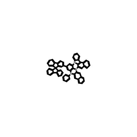 c1ccc(N2c3cc4ccccc4cc3B3c4c2cc(-c2ccc5c(c2)C2(c6ccccc6-c6ccccc62)c2ccccc2-5)cc4-n2c4ccccc4c4c5ccccc5cc3c42)cc1